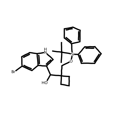 CC(C)(C)[Si](OCC1(C(O)c2c[nH]c3ccc(Br)cc23)CCC1)(c1ccccc1)c1ccccc1